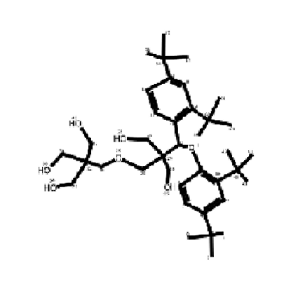 CC(C)(C)c1ccc(OC(c2ccc(C(C)(C)C)cc2C(C)(C)C)C(CO)(CO)COCC(CO)(CO)CO)c(C(C)(C)C)c1